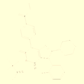 COC(=O)c1ccc(-n2c(=O)[nH]c(=O)c3c2nc(N2CCNCC2)n3-c2ccccc2Cl)cc1.O=C(O)C(F)(F)F